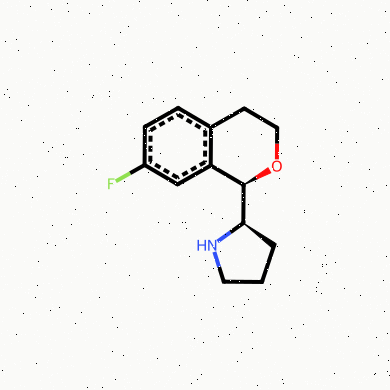 Fc1ccc2c(c1)[C@H]([C@H]1CCCN1)OCC2